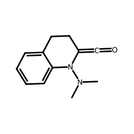 CN(C)N1C(=C=O)CCc2ccccc21